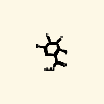 CC(C)COC(=O)c1cc(F)c(F)c(F)c1F